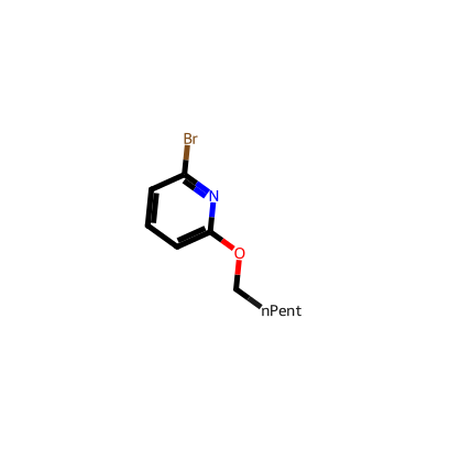 CCCCCCOc1cccc(Br)n1